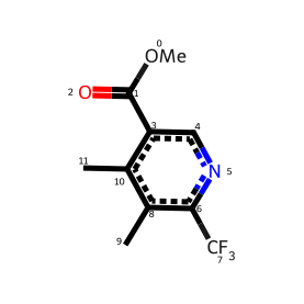 COC(=O)c1cnc(C(F)(F)F)c(C)c1C